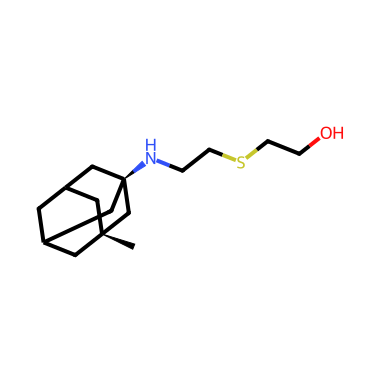 C[C@]12CC3CC(C1)C[C@](NCCSCCO)(C3)C2